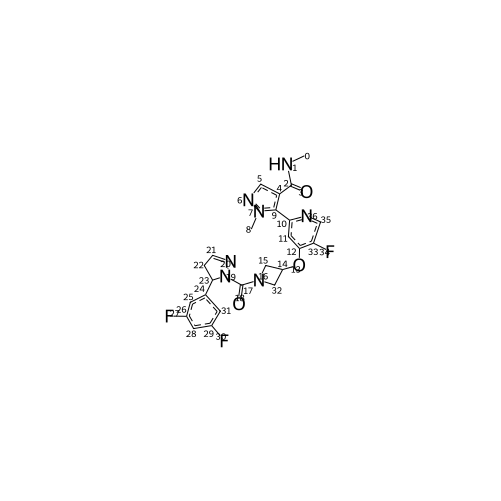 CNC(=O)c1cnn(C)c1-c1cc(OC2CN(C(=O)N3N=CCC3c3cc(F)cc(F)c3)C2)c(F)cn1